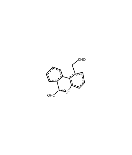 CN(C=O)c1ccccc1-c1c(CC=O)cccc1C(=O)O